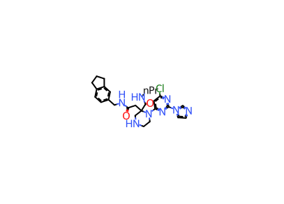 CCCNC(=O)C1(CC(=O)NCc2ccc3c(c2)CCC3)CNCCN1c1cc(Cl)nc(-n2ccnc2)n1